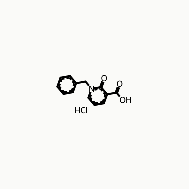 Cl.O=C(O)c1cccn(Cc2ccccc2)c1=O